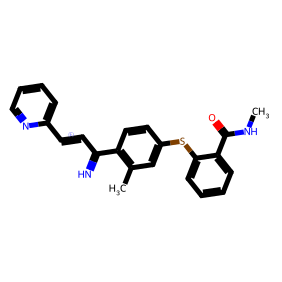 CNC(=O)c1ccccc1Sc1ccc(C(=N)/C=C/c2ccccn2)c(C)c1